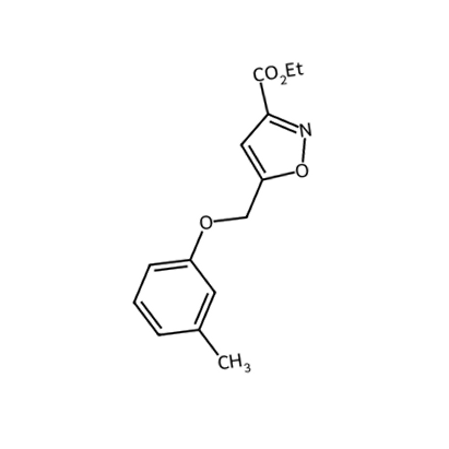 CCOC(=O)c1cc(COc2cccc(C)c2)on1